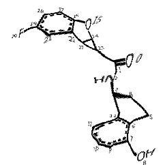 O=C(NC1CCc2c(O)cccc21)C1C2Oc3ccc(F)cc3C21